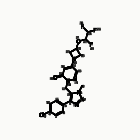 Cn1nnc(-c2ccc(Cl)cc2)c1Cn1ncc(N2CC(OC(F)C(F)F)C2)cc1=O